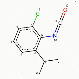 CC(C)c1cccc(Cl)c1N=C=O